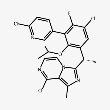 Cc1nc([C@@H](C)c2cc(Cl)c(F)c(-c3ccc(Cl)nc3)c2OC(C)C)n2ccnc(Cl)c12